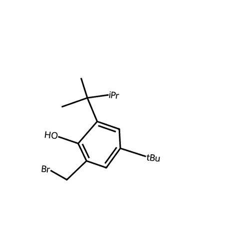 CC(C)C(C)(C)c1cc(C(C)(C)C)cc(CBr)c1O